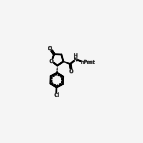 CCCCCNC(=O)[C@@H]1CC(=O)O[C@H]1c1ccc(Cl)cc1